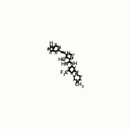 CN1CCN(Cc2cc(NC(=N)c3ncnc(C#Cc4cc5cn[nH]c5cn4)c3O)cc(C(F)(F)F)c2)CC1